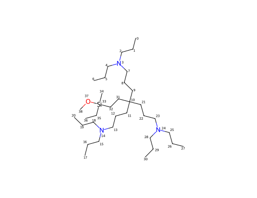 CCCN(CCC)CCCC(CCCN(CCC)CCC)(CCCN(CCC)CCC)CC[Si](C)(CC)OC